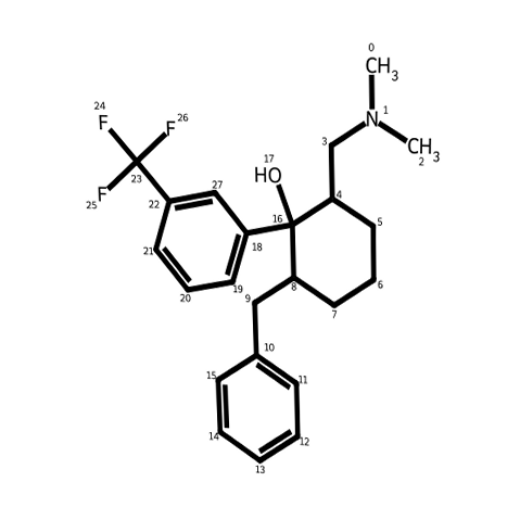 CN(C)CC1CCCC(Cc2ccccc2)C1(O)c1cccc(C(F)(F)F)c1